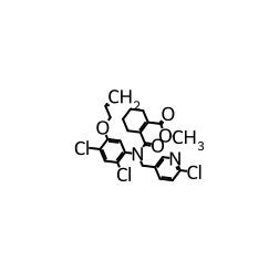 C=CCOc1cc(N(Cc2ccc(Cl)nc2)C(=O)C2=C(C(=O)OC)CCCC2)c(Cl)cc1Cl